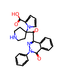 O=C(O)c1cccn1C1(C(=O)c2nn(-c3ccccc3)c(=O)c3ccccc23)CCNCC1